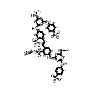 CC(C)Nc1nc(Nc2ccc(S(=O)(=O)[O-])cc2)nc(Nc2ccc(C=Cc3ccc(Nc4nc(Nc5ccc(S(=O)(=O)[O-])cc5)nc(NC(C)C)n4)cc3S(=O)(=O)[O-])c(S(=O)(=O)[O-])c2)n1.[Na+].[Na+].[Na+].[Na+]